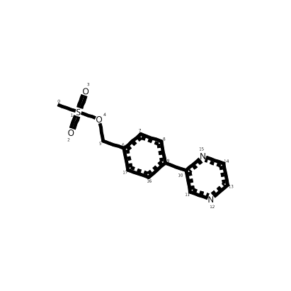 CS(=O)(=O)OCc1ccc(-c2cnccn2)cc1